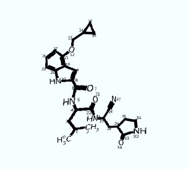 CC(C)CC(NC(=O)c1cc2c(OCC3CC3)cccc2[nH]1)C(=O)NC(C#N)CC1CCNC1=O